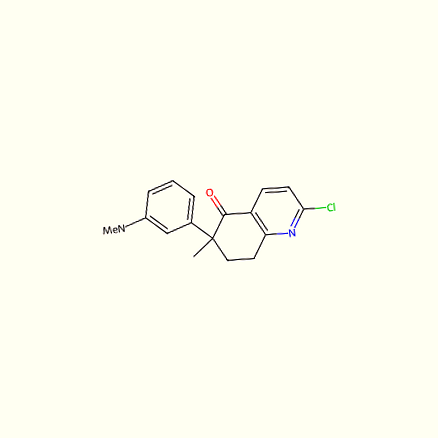 CNc1cccc(C2(C)CCc3nc(Cl)ccc3C2=O)c1